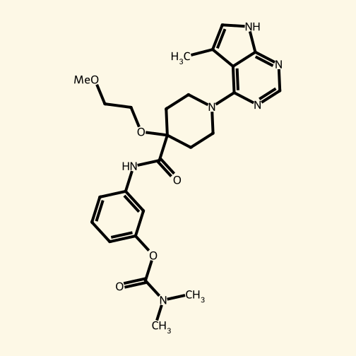 COCCOC1(C(=O)Nc2cccc(OC(=O)N(C)C)c2)CCN(c2ncnc3[nH]cc(C)c23)CC1